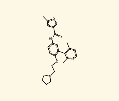 Cc1cc(C(=O)Nc2ccc(OCCN3CCCC3)c(-c3c(C)ncnc3C)c2)co1